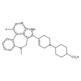 CN1Cc2c(C3=CCN(C4CCC(C(=O)O)CC4)CC3)[nH]c3ncc(F)c(c23)-c2ccccc21